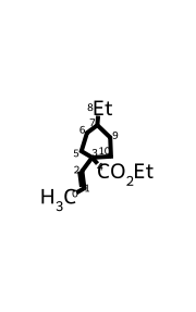 C/C=C/C1(C(=O)OCC)CCC(CC)CC1